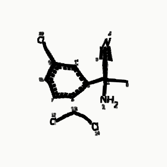 CC(N)(C#N)c1cccc(Cl)c1.ClCCl